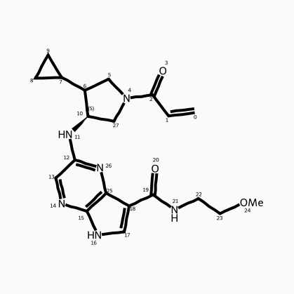 C=CC(=O)N1CC(C2CC2)[C@H](Nc2cnc3[nH]cc(C(=O)NCCOC)c3n2)C1